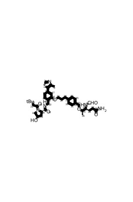 Cc1ncsc1-c1ccc(CNC(=O)[C@@H]2C[C@@H](O)CN2C(=O)CC(C)(C)C)c(OCCCc2ccc(CO[C@H](C)[C@H](CCC(N)=O)NC=O)cc2)c1